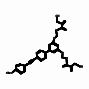 C=C(CO)C(=O)OCOc1cc(OCOC(=O)C(=C)CO)cc(-c2ccc(C#Cc3ccc(CCCCC)cc3)cc2)c1